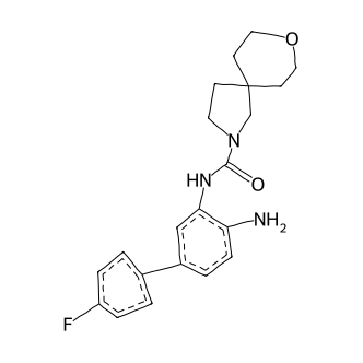 Nc1ccc(-c2ccc(F)cc2)cc1NC(=O)N1CCC2(CCOCC2)C1